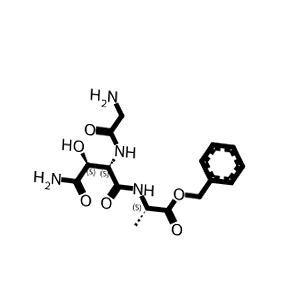 C[C@H](NC(=O)[C@@H](NC(=O)CN)[C@H](O)C(N)=O)C(=O)OCc1ccccc1